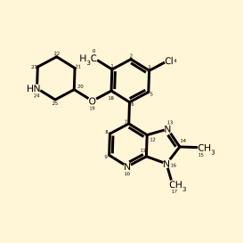 Cc1cc(Cl)cc(-c2ccnc3c2nc(C)n3C)c1OC1CCCNC1